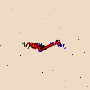 C=C/C=C/C=C(\C)[C@H](C[C@@H]1CCC[C@](O)(C(=O)C(=O)N2CCCC[C@H]2C(=O)O[C@@H](C[C@@H](O)[C@H](C)/C=C(\C)[C@@H](O)[C@@H](O)/C(=N/OCc2cn(CCOCCOCCOCCOCCOCCOCCOCCOCCC(=O)NCCCCn3nc(-c4ccc5oc(N)nc5c4)c4c(N)ncnc43)nn2)[C@H](C)CC(C)C)[C@H](N)C[C@@H]2CC[C@@H](O)[C@H](OC)C2)O1)OC